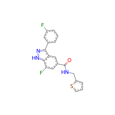 O=C(NCc1cccs1)c1cc(F)c2[nH]nc(-c3cccc(F)c3)c2c1